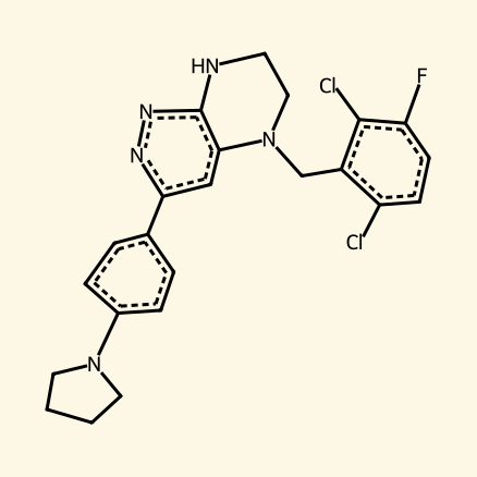 Fc1ccc(Cl)c(CN2CCNc3nnc(-c4ccc(N5CCCC5)cc4)cc32)c1Cl